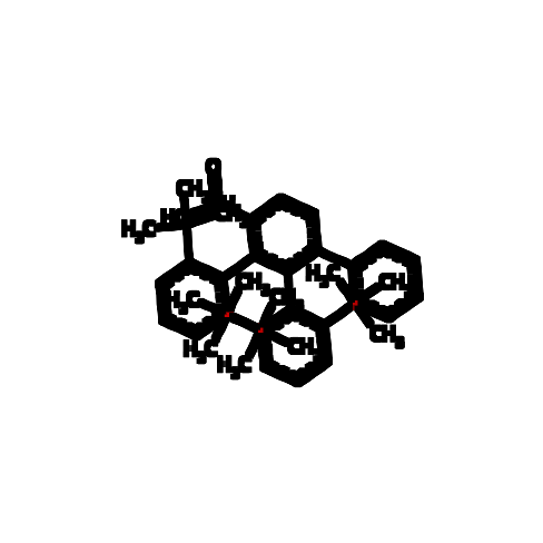 CC(C)(C)c1cccc(C(C)(C)C)c1-c1c(-c2ccccc2)ccc([PH](=O)O)c1-c1c(C(C)(C)C)cccc1C(C)(C)C